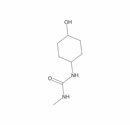 CNC(=O)NC1CCC(O)CC1